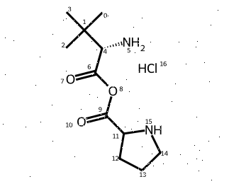 CC(C)(C)[C@H](N)C(=O)OC(=O)C1CCCN1.Cl